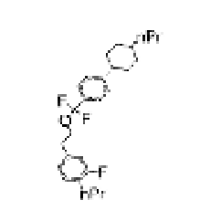 CCCc1ccc(CCOC(F)(F)c2ccc([C@H]3CC[C@H](CCC)CC3)cc2)cc1F